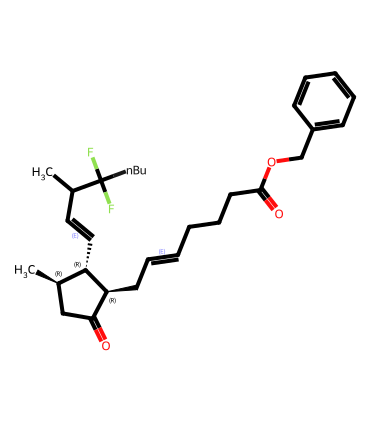 CCCCC(F)(F)C(C)/C=C/[C@H]1[C@H](C)CC(=O)[C@@H]1C/C=C/CCCC(=O)OCc1ccccc1